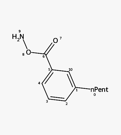 CCCCCc1cccc(C(=O)ON)c1